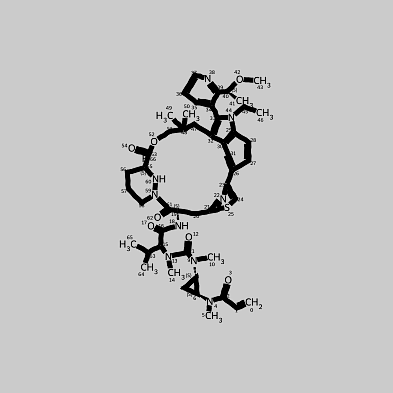 C=CC(=O)N(C)[C@H]1C[C@@H]1N(C)C(=O)N(C)C(C(=O)N[C@H]1Cc2nc(cs2)-c2ccc3c(c2)c(c(-c2cccnc2[C@H](C)OC)n3CC)CC(C)(C)COC(=O)[C@@H]2CCCN(N2)C1=O)C(C)C